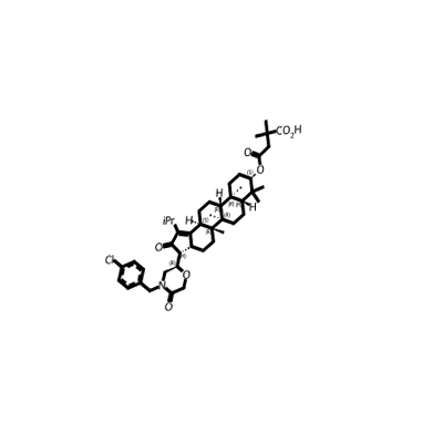 CC(C)C1=C2C(CC[C@]3(C)[C@@H]2CC[C@@H]2[C@@]4(C)CC[C@H](OC(=O)CC(C)(C)C(=O)O)C(C)(C)[C@@H]4CC[C@]23C)[C@H]([C@@H]2CN(Cc3ccc(Cl)cc3)C(=O)CO2)C1=O